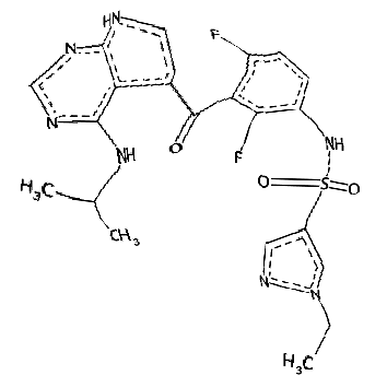 CCn1cc(S(=O)(=O)Nc2ccc(F)c(C(=O)c3c[nH]c4ncnc(NC(C)C)c34)c2F)cn1